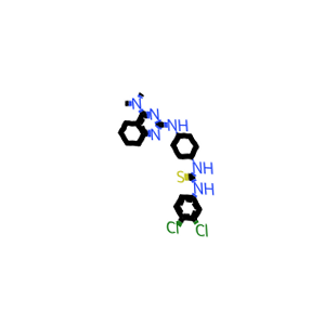 CN(C)c1nc(N[C@H]2CC[C@@H](NC(=S)Nc3ccc(Cl)c(Cl)c3)CC2)nc2c1CCCC2